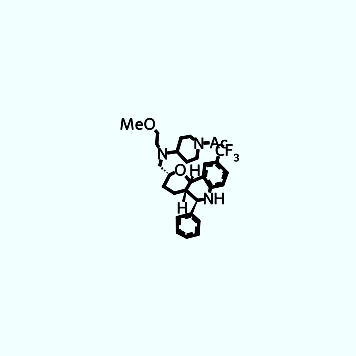 COCCN(C[C@H]1CC[C@@H]2[C@H](O1)c1cc(C(F)(F)F)ccc1N[C@H]2c1ccccc1)C1CCN(C(C)=O)CC1